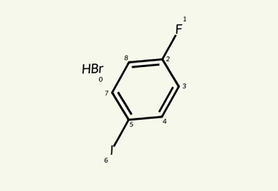 Br.Fc1ccc(I)cc1